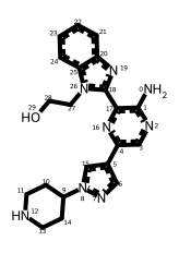 Nc1ncc(-c2cnn(C3CCNCC3)c2)nc1-c1nc2ccccc2n1CCO